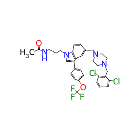 CC(=O)NCCCn1cc(-c2ccc(OC(F)(F)F)cc2)c2cc(CN3CCN(Cc4c(Cl)cccc4Cl)CC3)ccc21